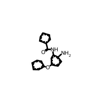 Nc1ccc(Oc2ccccc2)cc1NC(=O)c1ccccc1